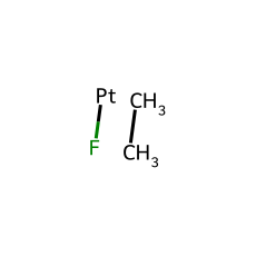 CC.[F][Pt]